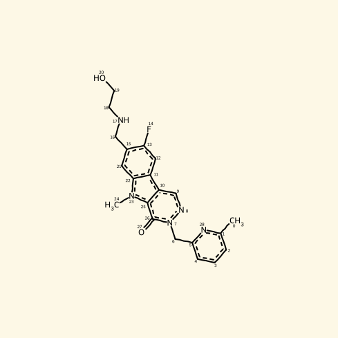 Cc1cccc(Cn2ncc3c4cc(F)c(CNCCO)cc4n(C)c3c2=O)n1